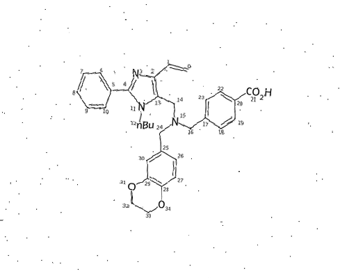 C=Cc1nc(-c2ccccc2)n(CCCC)c1CN(Cc1ccc(C(=O)O)cc1)Cc1ccc2c(c1)OCCO2